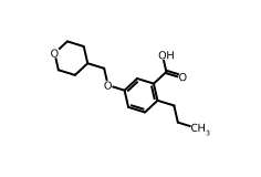 CCCc1ccc(OCC2CCOCC2)cc1C(=O)O